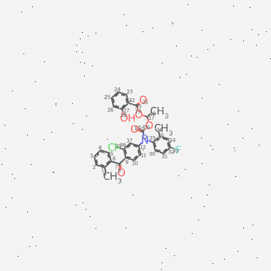 Cc1ccccc1C(=O)c1ccc(N(C(=O)OC(C)OC(=O)c2ccccc2O)c2ccc(F)cc2C)cc1Cl